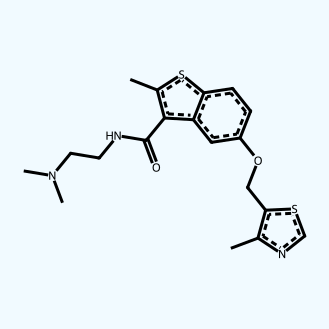 Cc1ncsc1COc1ccc2sc(C)c(C(=O)NCCN(C)C)c2c1